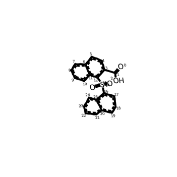 O=C(O)c1ccc2ccccc2c1S(=O)(=O)c1cccc2ccccc12